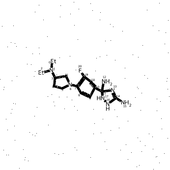 CCN(CC)C1CCN(c2ccc(C3(N)N=C(N)NN3)cc2F)C1